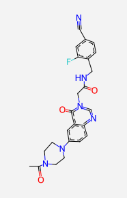 CC(=O)N1CCN(c2ccc3ncn(CC(=O)NCc4ccc(C#N)cc4F)c(=O)c3c2)CC1